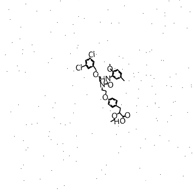 CCOC(Cc1ccc(OCCN(CCOCc2cc(Cl)cc(Cl)c2)C(=O)Nc2cc(C)ccc2OC)cc1)C(=O)O